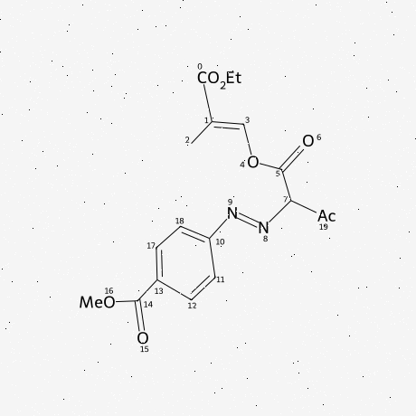 CCOC(=O)C(C)=COC(=O)C(N=Nc1ccc(C(=O)OC)cc1)C(C)=O